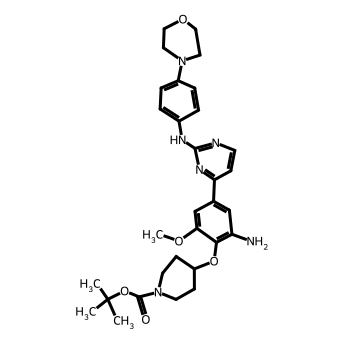 COc1cc(-c2ccnc(Nc3ccc(N4CCOCC4)cc3)n2)cc(N)c1OC1CCN(C(=O)OC(C)(C)C)CC1